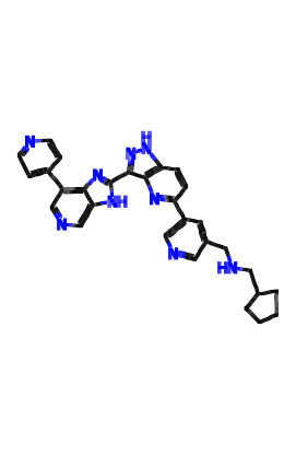 c1cc(-c2cncc3[nH]c(-c4n[nH]c5ccc(-c6cncc(CNCC7CCCC7)c6)nc45)nc23)ccn1